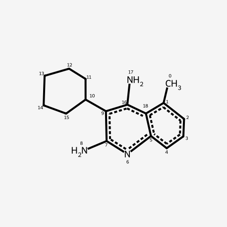 Cc1cccc2nc(N)c(C3CCCCC3)c(N)c12